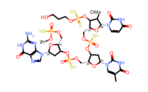 COC1C(OP(=S)(S)OCCCO)[C@@H](COP(=O)(S)OC2C[C@H](n3cc(C)c(=O)[nH]c3=O)O[C@@H]2COP(=O)(S)OC2C[C@H](n3cnc4c(=O)[nH]c(N)nc43)O[C@@H]2COP(=O)(S)OC(C)C)O[C@H]1n1ccc(=O)[nH]c1=O